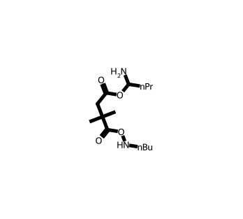 CCCCNOC(=O)C(C)(C)CC(=O)OC(N)CCC